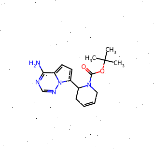 CC(C)(C)OC(=O)N1CC=CCC1c1ccc2c(N)ncnn12